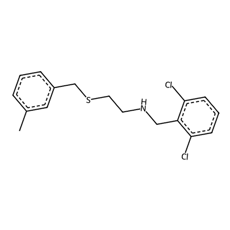 Cc1cccc(CSCCNCc2c(Cl)cccc2Cl)c1